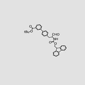 CC(C)(C)OC(=O)c1cccc(-c2ccc(CC(C=O)NC(=O)OCC3c4ccccc4-c4ccccc43)cc2)c1